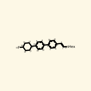 CCCCCC/C=C/c1ccc(-c2ccc(C3CCC(F)CC3)cc2)cc1